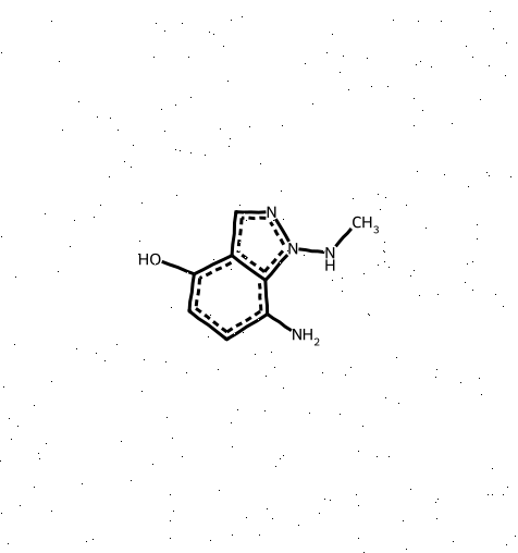 CNn1ncc2c(O)ccc(N)c21